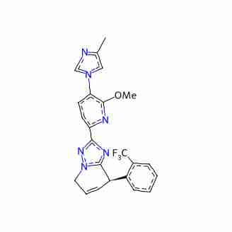 COc1nc(-c2nc3n(n2)CC=C[C@@H]3c2ccccc2C(F)(F)F)ccc1-n1cnc(C)c1